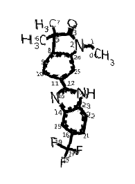 CCN1C(=O)C(C)(C)c2ccc(-c3nc4cc(C(F)(F)F)ccc4[nH]3)cc21